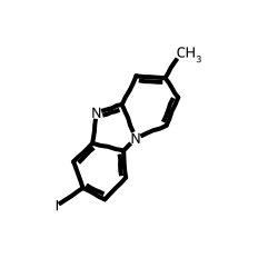 Cc1ccn2c(c1)nc1cc(I)ccc12